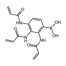 C=CC(=O)Nc1ccc(B(O)O)c(NC(=O)C=C)c1NC(=O)C=C